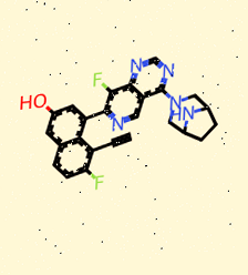 C#Cc1c(F)ccc2cc(O)cc(-c3ncc4c(N5CC6CCC(C5)N6)ncnc4c3F)c12